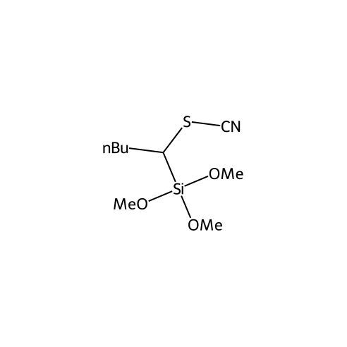 CCCCC(SC#N)[Si](OC)(OC)OC